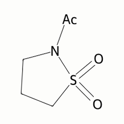 CC(=O)N1CCCS1(=O)=O